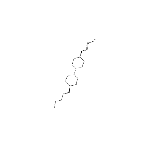 CCCCC[C@H]1CC[C@H]([C@H]2CC[C@H](CC=CF)CC2)CC1